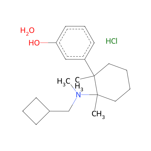 CN(CC1CCC1)C1(C)CCCCC1(C)c1cccc(O)c1.Cl.O